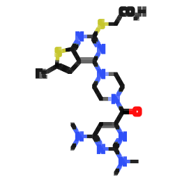 CCc1cc2c(N3CCN(C(=O)c4cc(N(C)C)nc(N(C)C)n4)CC3)nc(SCC(=O)O)nc2s1